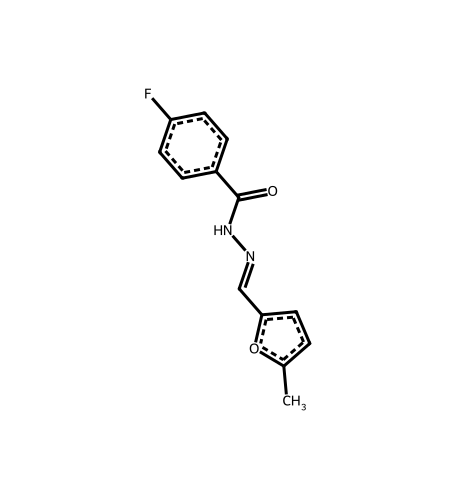 Cc1ccc(/C=N/NC(=O)c2ccc(F)cc2)o1